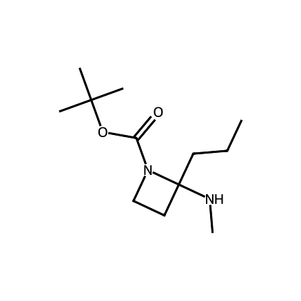 CCCC1(NC)CCN1C(=O)OC(C)(C)C